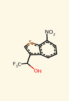 O=[N+]([O-])c1cccc2c(C(O)C(F)(F)F)csc12